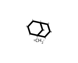 C1CC2CCCC(C1)C2.[CH2]